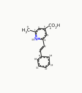 Cc1cc(C(=O)O)cc(/C=C/c2ccccc2)n1